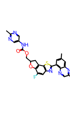 CCOc1cnc2c(-c3nc4cc(F)c5c(c4s3)CC(COC(=O)Nc3cnc(C)nc3)O5)cc(C)cc2n1